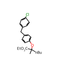 CCCCC(C)(Oc1ccc(Cc2ccc(Cl)cc2)cc1)C(=O)OCC